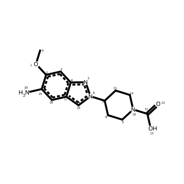 COc1cc2nn(C3CCN(C(=O)O)CC3)cc2cc1N